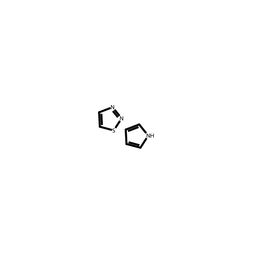 c1cc[nH]c1.c1csnn1